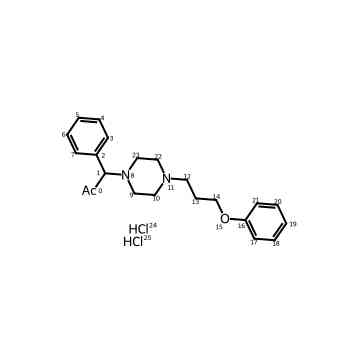 CC(=O)C(c1ccccc1)N1CCN(CCCOc2ccccc2)CC1.Cl.Cl